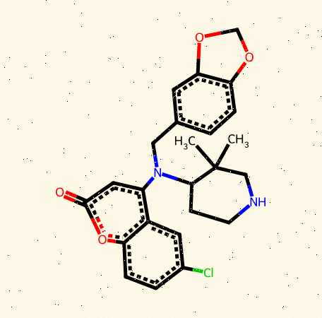 CC1(C)CNCCC1N(Cc1ccc2c(c1)OCO2)c1cc(=O)oc2ccc(Cl)cc12